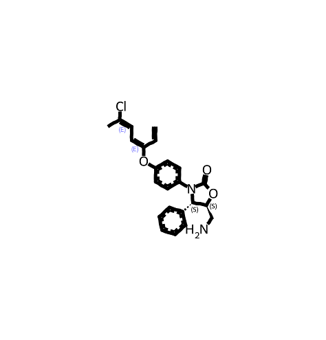 C=C/C(=C\C=C(/C)Cl)Oc1ccc(N2C(=O)O[C@@H](CN)[C@@H]2c2ccccc2)cc1